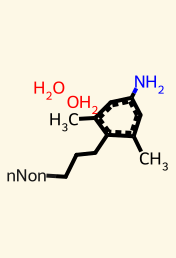 CCCCCCCCCCCCc1c(C)cc(N)cc1C.O.O